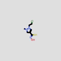 CN1CC(C(S)=NO)=CN1CCCl